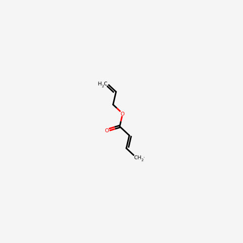 [CH2]/C=C/C(=O)OCC=C